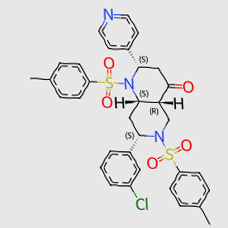 Cc1ccc(S(=O)(=O)N2C[C@H]3C(=O)C[C@@H](c4ccncc4)N(S(=O)(=O)c4ccc(C)cc4)[C@H]3C[C@H]2c2cccc(Cl)c2)cc1